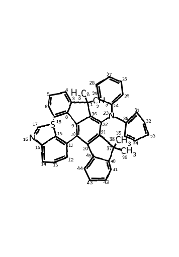 CC1(C)c2ccccc2-c2c(-c3cccc4ncsc34)c3c(c(N(c4ccccc4)c4ccccc4)c21)C(C)(C)c1ccccc1-3